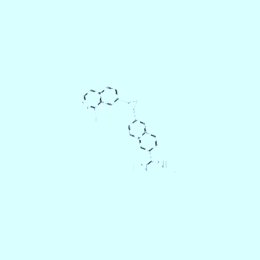 CC(C)c1nccc2ccc(C3CC3c3ccc4cc(C(=N)N)ccc4c3)cc12